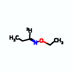 [3H]/C(CC)=N\OCC